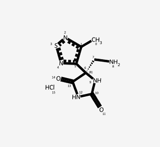 Cc1nsnc1[C@@]1(CN)NC(=O)NC1=O.Cl